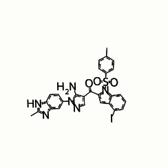 Cc1ccc(S(=O)(=O)n2c(C(=O)c3cnn(-c4ccc5[nH]c(C)nc5c4)c3N)cc3c(I)cccc32)cc1